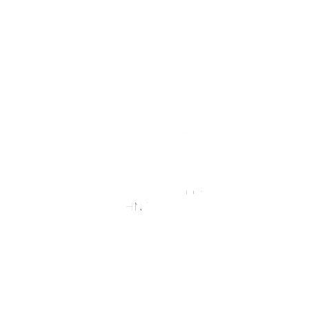 CC1NCOC1C(C)(C)C